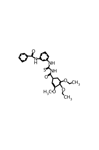 CCOC1=C(OCC)C(OC)=CC(C(=O)NC(=S)Nc2cccc(NC(=O)c3ccccc3)c2)C1